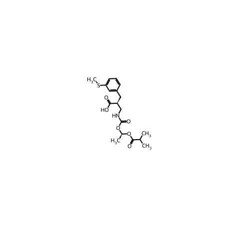 CSc1cccc(C[C@@H](CNC(=O)O[C@H](C)OC(=O)C(C)C)C(=O)O)c1